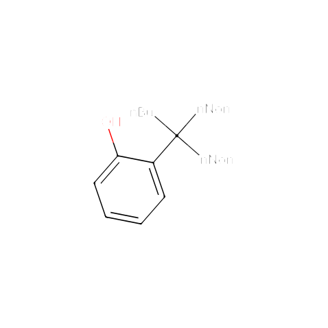 CCCCCCCCCC(CCCC)(CCCCCCCCC)c1ccccc1O